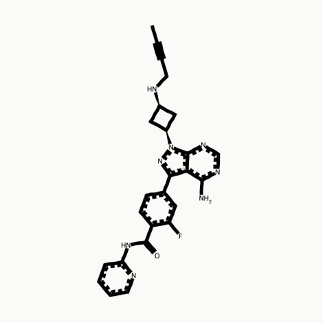 CC#CCN[C@H]1C[C@@H](n2nc(-c3ccc(C(=O)Nc4ccccn4)c(F)c3)c3c(N)ncnc32)C1